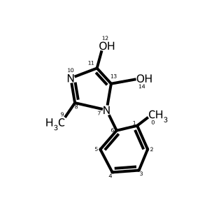 Cc1ccccc1-n1c(C)nc(O)c1O